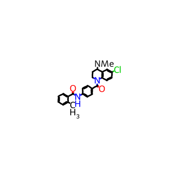 CNC1CCN(C(=O)c2ccc(NC(=O)c3ccccc3C)cc2)c2ccc(Cl)cc21